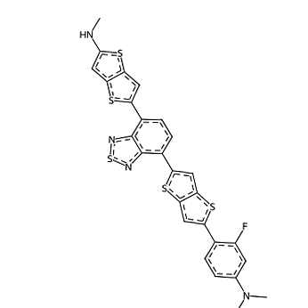 CNc1cc2sc(-c3ccc(-c4cc5sc(-c6ccc(N(C)C)cc6F)cc5s4)c4nsnc34)cc2s1